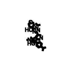 CC(C)c1ccc(C(O)(c2cncc(-c3nc(C4(O)CCOCC4)n(C(C)C)n3)c2)C2(C)CN(C)C2)cc1